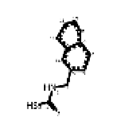 S=C(S)NCc1ccc2ccccc2c1